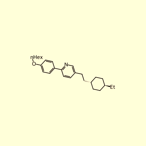 CCCCCCOc1ccc(-c2ccc(CC[C@H]3CC[C@H](CC)CC3)cn2)cc1